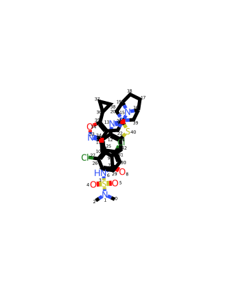 CN(C)S(=O)(=O)NC(=O)c1ccc2nc(N3C4CCC3CN(Cc3c(-c5c(Cl)cccc5Cl)noc3C3CC3)C4)sc2c1